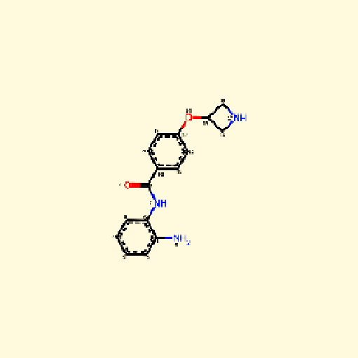 Nc1ccccc1NC(=O)c1ccc(OC2CNC2)cc1